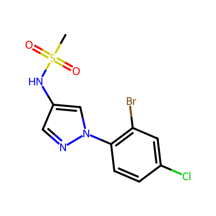 CS(=O)(=O)Nc1cnn(-c2ccc(Cl)cc2Br)c1